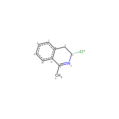 CC1=N[C@@H](Cl)Cc2ccccc21